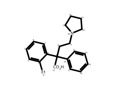 CCc1ccccc1C(CCN1CCCC1)(C(=O)O)c1ccccc1